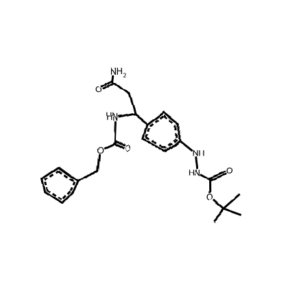 CC(C)(C)OC(=O)NNc1ccc(C(CC(N)=O)NC(=O)OCc2ccccc2)cc1